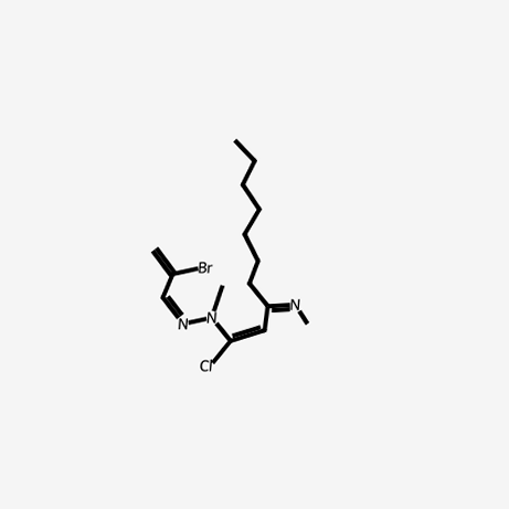 C=C(Br)/C=N\N(C)/C(Cl)=C\C(CCCCCCC)=N/C